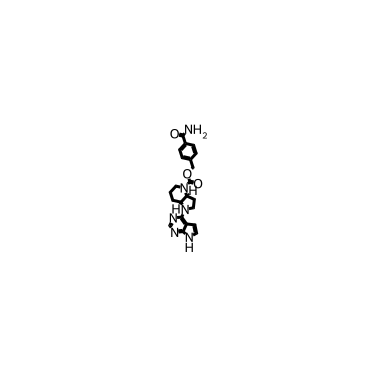 NC(=O)c1ccc(COC(=O)N2CCC[C@@H]3[C@H]2CCN3c2ncnc3[nH]ccc23)cc1